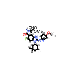 COC[C@](C)(C=O)N(C)C(=O)c1cc2nc(Nc3ccc(OC(F)(F)F)cc3)n([C@H]3C[C@@H](C)CC(C)(C)C3)c2cc1F